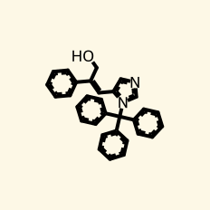 OC/C(=C\c1cncn1C(c1ccccc1)(c1ccccc1)c1ccccc1)c1ccccc1